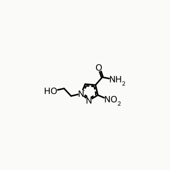 NC(=O)c1cn(CCO)nc1[N+](=O)[O-]